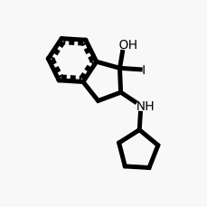 OC1(I)c2ccccc2CC1NC1CCCC1